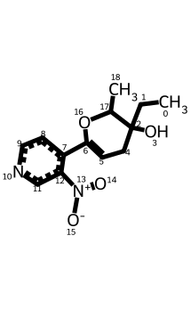 CCC1(O)CC=C(c2ccncc2[N+](=O)[O-])OC1C